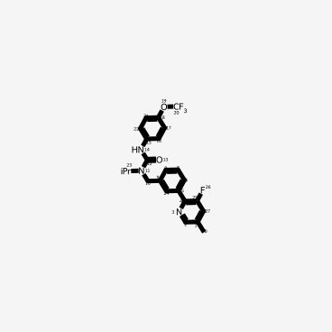 Cc1cnc(-c2cccc(CN(C(=O)Nc3ccc(OC(F)(F)F)cc3)C(C)C)c2)c(F)c1